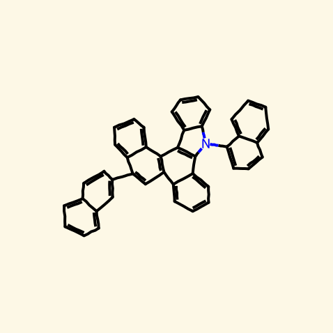 c1ccc2cc(-c3cc4c5ccccc5c5c(c6ccccc6n5-c5cccc6ccccc56)c4c4ccccc34)ccc2c1